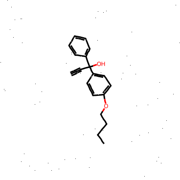 C#CC(O)(c1ccccc1)c1ccc(OCCCC)cc1